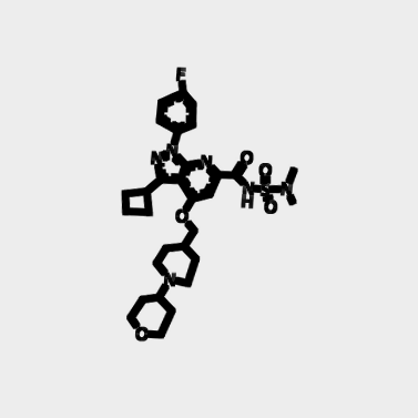 CN(C)S(=O)(=O)NC(=O)c1cc(OCC2CCN(C3CCOCC3)CC2)c2c(C3CCC3)nn(-c3ccc(F)cc3)c2n1